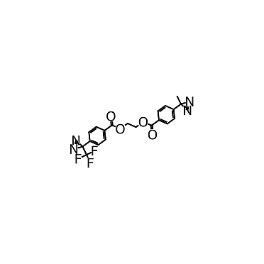 CC1(c2ccc(C(=O)OCCOC(=O)c3ccc(C4(C(F)(F)F)N=N4)cc3)cc2)N=N1